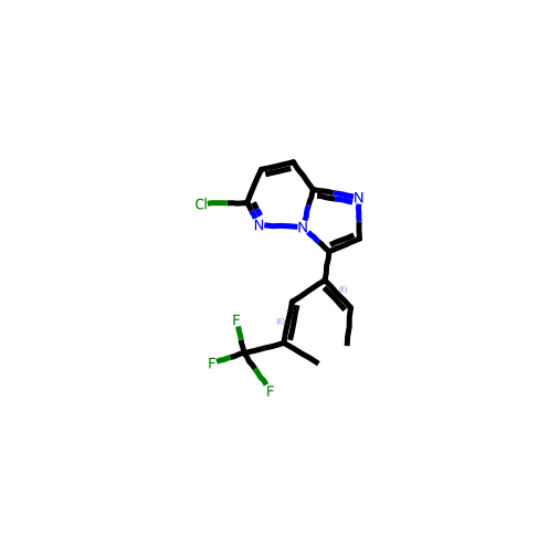 C/C=C(\C=C(/C)C(F)(F)F)c1cnc2ccc(Cl)nn12